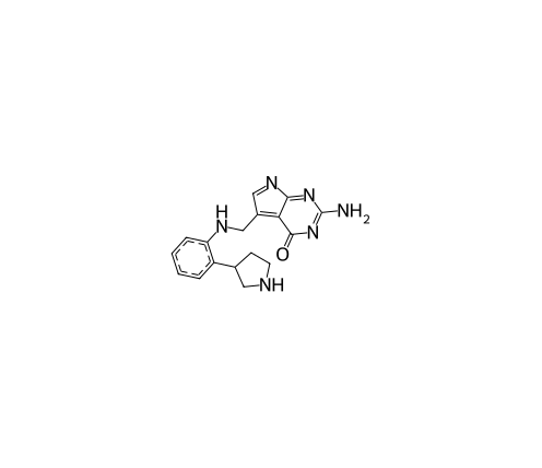 NC1=NC(=O)C2=C(CNc3ccccc3C3CCNC3)C=NC2=N1